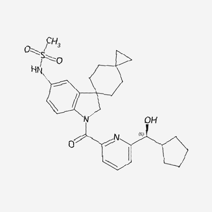 CS(=O)(=O)Nc1ccc2c(c1)C1(CCC3(CC3)CC1)CN2C(=O)c1cccc([C@@H](O)C2CCCC2)n1